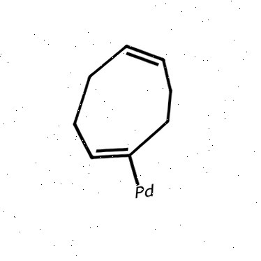 [Pd][C]1=CCCC=CCC1